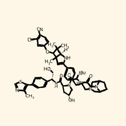 Cc1ncsc1-c1ccc([C@H](CO)NC(=O)C2C[C@@H](O)CN2C(=O)C(NC(=O)CN2C3CCC2CN(CCCc2ccc(C4=CC5(C)C(Oc6ccc(C#N)c(Cl)c6)C(C)(C)[C@H]5N4)cc2)C3)C(C)(C)C)cc1